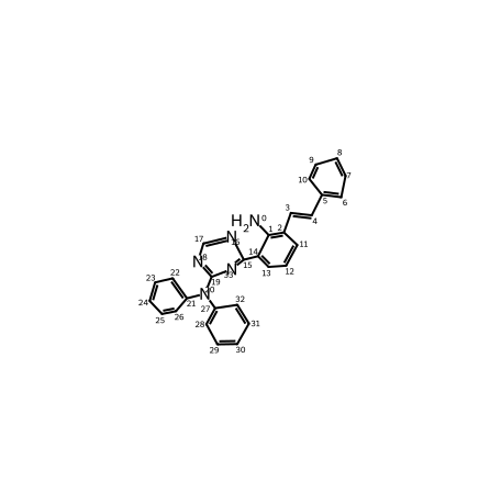 Nc1c(C=Cc2ccccc2)cccc1-c1ncnc(N(c2ccccc2)c2ccccc2)n1